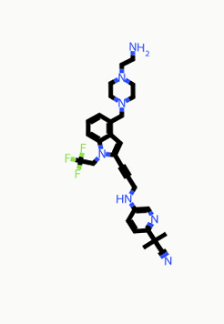 CC(C)(C#N)c1ccc(NCC#Cc2cc3c(CN4CCN(CCN)CC4)cccc3n2CC(F)(F)F)cn1